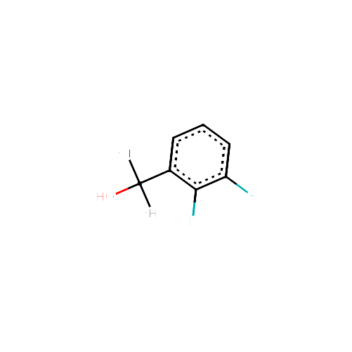 [2H]C([2H])(O)c1cccc(F)c1F